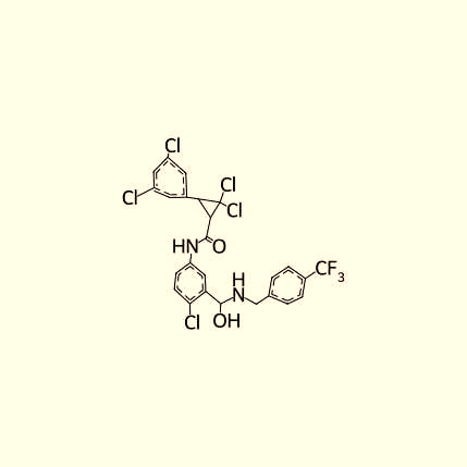 O=C(Nc1ccc(Cl)c(C(O)NCc2ccc(C(F)(F)F)cc2)c1)C1C(c2cc(Cl)cc(Cl)c2)C1(Cl)Cl